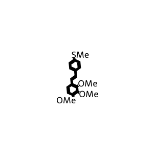 COc1ccc(C=Cc2ccc(SC)cc2)c(OC)c1OC